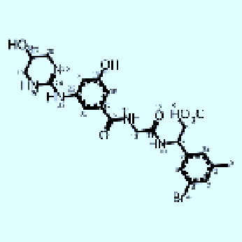 Cc1cc(Br)cc(C(CC(=O)O)NC(=O)CNC(=O)c2cc(O)cc(NC3=NCC(O)CN3)c2)c1